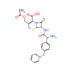 CC(=O)OCC1=C(C(=O)O)N2C(=O)C(NC(=O)C(N)c3ccc(C[n+]4ccccc4)cc3)C2SC1